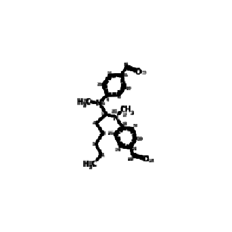 CCCCCC(N(C)c1ccc(C=O)cc1)N(C)c1ccc(C=O)cc1